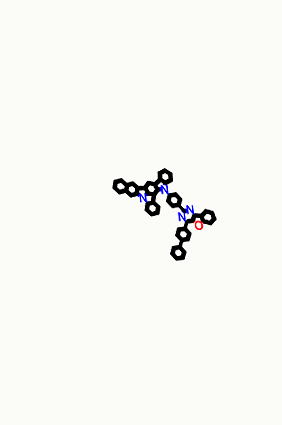 c1ccc(-c2ccc(-c3nc(-c4ccc(-n5c6ccccc6c6cc7c8cc9ccccc9cc8n8c9ccccc9c(c65)c78)cc4)nc4c3oc3ccccc34)cc2)cc1